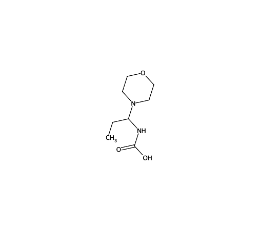 CCC(NC(=O)O)N1CCOCC1